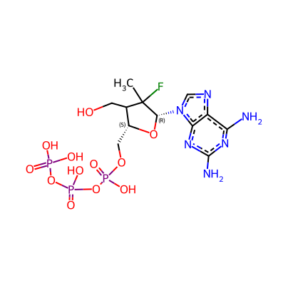 CC1(F)C(CO)[C@@H](COP(=O)(O)OP(=O)(O)OP(=O)(O)O)O[C@H]1n1cnc2c(N)nc(N)nc21